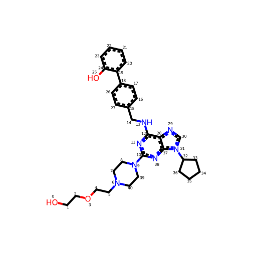 OCCOCCN1CCN(c2nc(NCc3ccc(-c4ccccc4O)cc3)c3ncn(C4CCCC4)c3n2)CC1